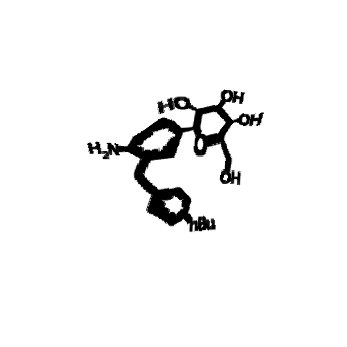 CCCCc1ccc(Cc2cc([C@@H]3O[C@H](CO)[C@@H](O)[C@H](O)[C@H]3O)ccc2N)cc1